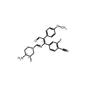 COc1ccc(/C(C=O)=C(/N=C/N2CC[C@H](N)[C@H](F)C2)c2ccc(C#N)c(F)c2)cc1